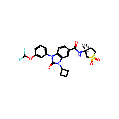 C[C@@]1(NC(=O)c2ccc3c(c2)n(C2CCC2)c(=O)n3-c2cccc(OC(F)F)c2)CCS(=O)(=O)C1